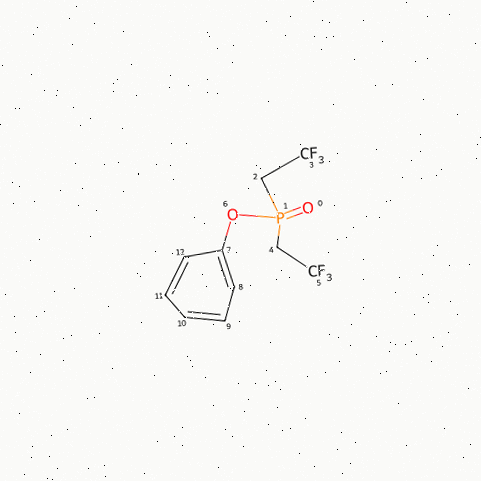 O=P(CC(F)(F)F)(CC(F)(F)F)Oc1ccccc1